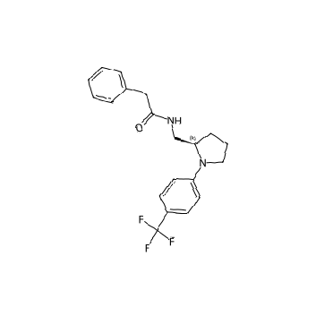 O=C(Cc1ccccc1)NC[C@H]1CCCN1c1ccc(C(F)(F)F)cc1